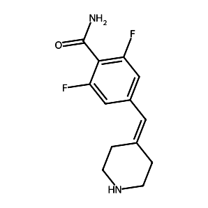 NC(=O)c1c(F)cc(C=C2CCNCC2)cc1F